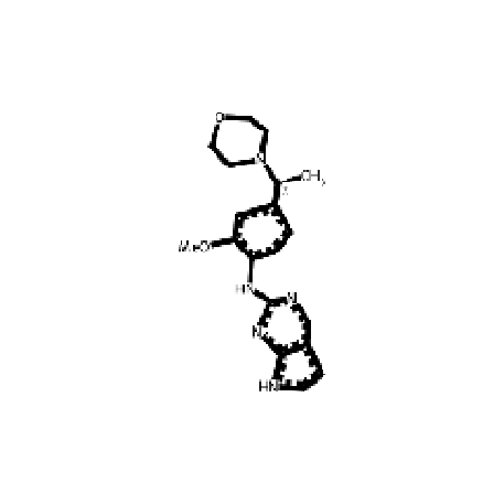 COc1cc([C@H](C)N2CCOCC2)ccc1Nc1ncc2cc[nH]c2n1